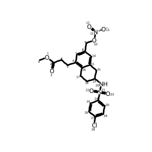 COC(=O)CCc1cc(CO[N+](=O)[O-])cc2c1CCC(NS(=O)(=O)c1ccc(Cl)cc1)C2